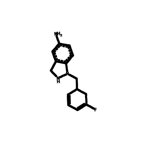 Nc1ccc2c(c1)CNN2CC1C=CC=C(F)C1